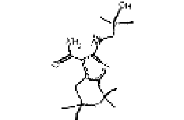 CC(C)(O)CNc1sc2c(c1C(N)=O)CC(C)(C)OC2(C)C